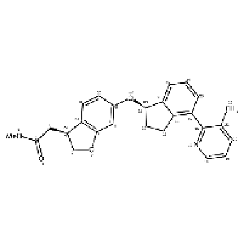 COC(=O)C[C@@H]1COc2cc(O[C@@H]3CCc4c(-c5ncccc5C)cccc43)ccc21